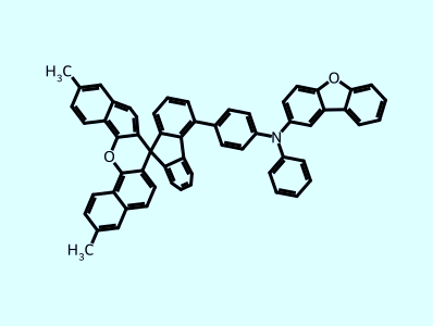 Cc1ccc2c3c(ccc2c1)C1(c2ccccc2-c2c(-c4ccc(N(c5ccccc5)c5ccc6oc7ccccc7c6c5)cc4)cccc21)c1ccc2cc(C)ccc2c1O3